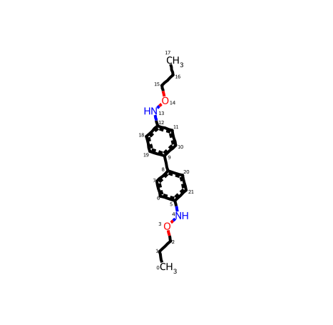 CCCONc1ccc(-c2ccc(NOCCC)cc2)cc1